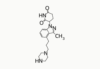 Cc1nn(C2CCC(=O)NC2=O)c2cccc(CCCN3CCNCC3)c12